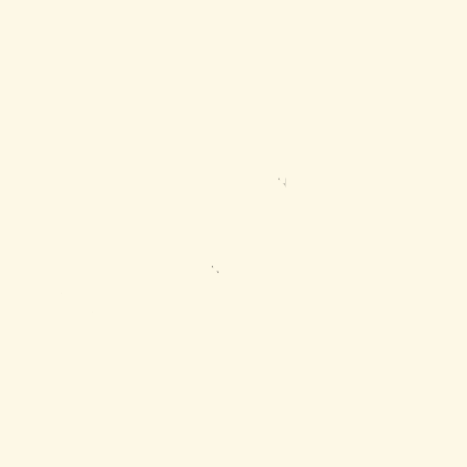 CN(CCC(c1ccccc1)N(C)C)c1ccc2c(c1)CCC2